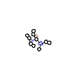 c1ccc(-c2nc(-c3ccc4ccccc4c3)nc(-c3cc(-n4c5cc6ccccc6cc5c5ccc6ccccc6c54)c4c(c3)oc3c5ccccc5ccc34)n2)cc1